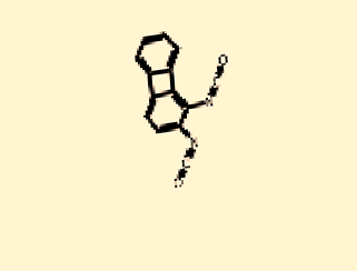 O=C=Nc1ccc2c(c1N=C=O)-c1ccccc1-2